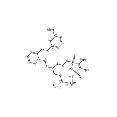 CCCOP(=S)(OCCC)OP(=S)(OCCC)OCO[C@@H](CCN(C)C)COc1ccccc1CCc1cccc(OC)c1